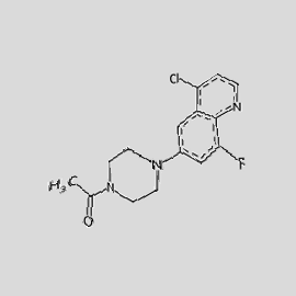 CC(=O)N1CCN(c2cc(F)c3nccc(Cl)c3c2)CC1